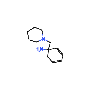 NC1(CN2CCCCC2)C=CC=CC1